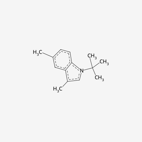 Cc1ccc2c(c1)c(C)cn2C(C)(C)C